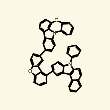 c1ccc(-n2c3ccc(-c4cccc5oc6ccc(-c7ccc8c(c7)c7cccc9c7n8-c7ccccc7O9)cc6c45)cc3c3c4ccccc4ccc32)cc1